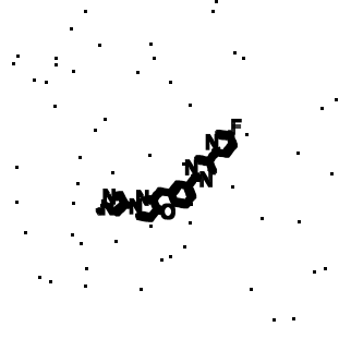 Cn1cc(-n2ccc(=O)c(Cc3cccc(-c4ncc(-c5ccc(F)cn5)cn4)c3)n2)cn1